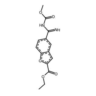 CCOC(=O)c1cc2cc(C(=N)NC(=O)OC)ccc2o1